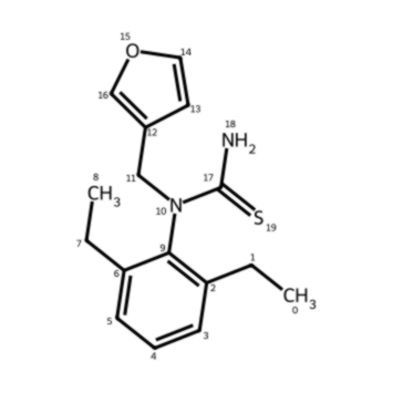 CCc1cccc(CC)c1N(Cc1ccoc1)C(N)=S